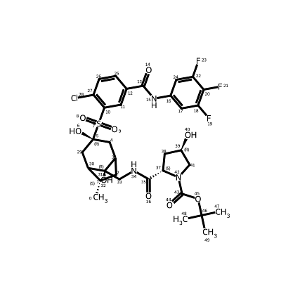 C[C@H]1CC2C[C@@](O)(S(=O)(=O)c3cc(C(=O)Nc4cc(F)c(F)c(F)c4)ccc3Cl)CC1[C@@]2(O)CNC(=O)[C@@H]1C[C@@H](O)CN1C(=O)OC(C)(C)C